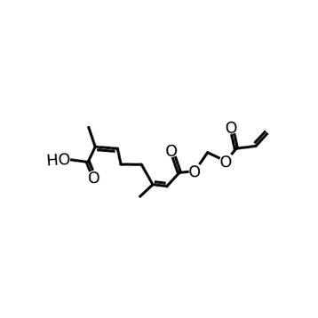 C=CC(=O)OCOC(=O)C=C(C)CCC=C(C)C(=O)O